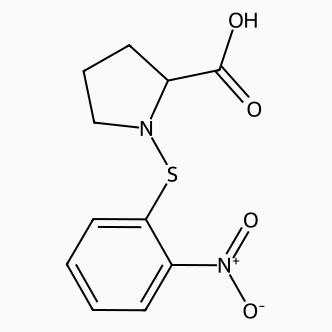 O=C(O)C1CCCN1Sc1ccccc1[N+](=O)[O-]